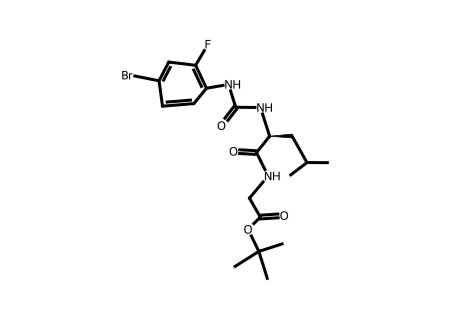 CC(C)C[C@H](NC(=O)Nc1ccc(Br)cc1F)C(=O)NCC(=O)OC(C)(C)C